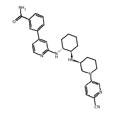 N#Cc1ccc(N2CCC[C@H](N[C@@H]3CCCC[C@H]3Nc3cc(-c4cccc(C(N)=O)c4)ccn3)C2)cn1